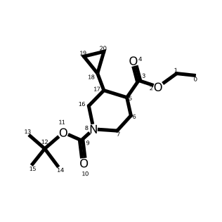 CCOC(=O)C1CCN(C(=O)OC(C)(C)C)CC1C1CC1